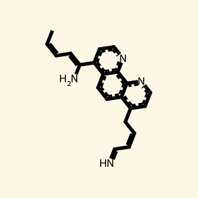 C/C=C\C=C(/N)c1ccnc2c1ccc1c(C/C=C\C=N)ccnc12